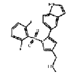 CNCc1cc(-c2ccc3[nH]ccc3c2)n(S(=O)(=O)c2c(F)cccc2F)c1